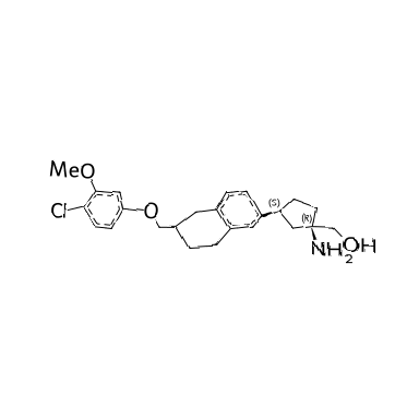 COc1cc(OCC2CCc3cc([C@H]4CC[C@](N)(CO)C4)ccc3C2)ccc1Cl